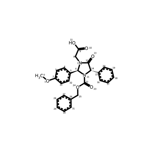 COc1ccc([C@H]2N(CC(=O)O)C(=O)[C@H](c3ccccc3)N2C(=O)OCc2ccccc2)cc1